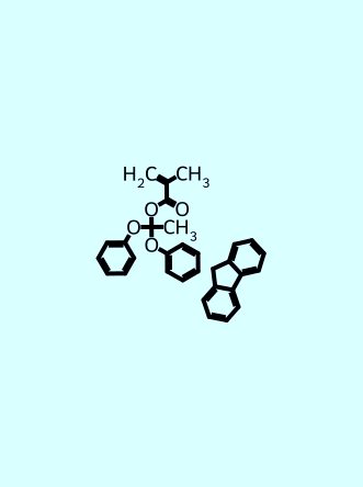 C=C(C)C(=O)OC(C)(Oc1ccccc1)Oc1ccccc1.c1ccc2c(c1)Cc1ccccc1-2